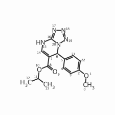 COc1ccc(C2C(C(=O)OC(C)C)=CNc3nnnn32)cc1